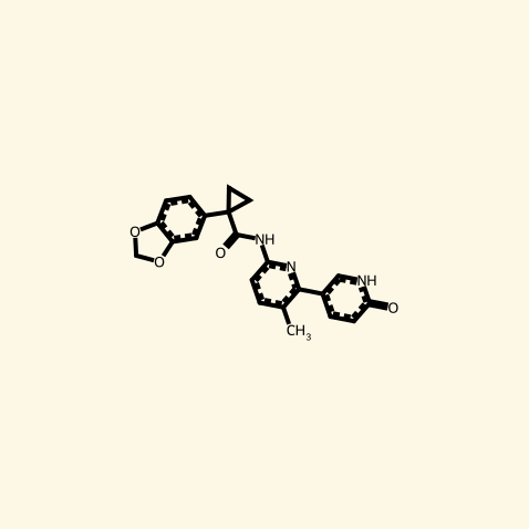 Cc1ccc(NC(=O)C2(c3ccc4c(c3)OCO4)CC2)nc1-c1ccc(=O)[nH]c1